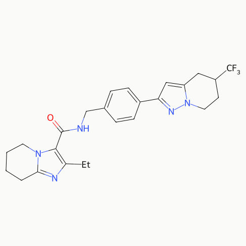 CCc1nc2n(c1C(=O)NCc1ccc(-c3cc4n(n3)CCC(C(F)(F)F)C4)cc1)CCCC2